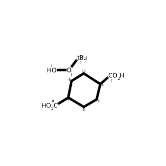 CC(C)(C)OO.O=C(O)C1CCC(C(=O)O)CC1